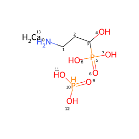 NCCC(O)P(=O)(O)O.O=[PH](O)O.[CaH2]